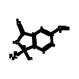 COc1ccc2c(c1)C(=O)O[C@]2(C)C(F)(F)F